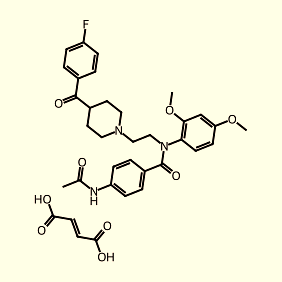 COc1ccc(N(CCN2CCC(C(=O)c3ccc(F)cc3)CC2)C(=O)c2ccc(NC(C)=O)cc2)c(OC)c1.O=C(O)/C=C/C(=O)O